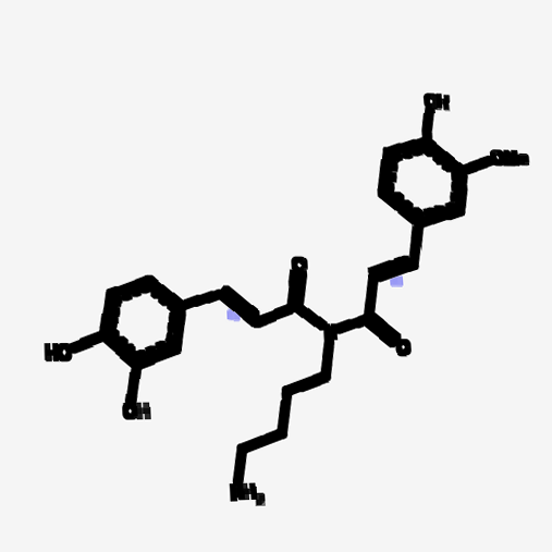 COc1cc(/C=C/C(=O)N(CCCCN)C(=O)/C=C/c2ccc(O)c(O)c2)ccc1O